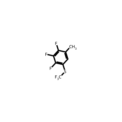 Cc1cc(SC(F)(F)F)c(F)c(F)c1F